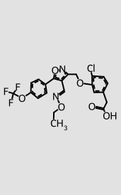 CCO/N=C/c1c(COc2cc(CC(=O)O)ccc2Cl)noc1-c1ccc(OC(F)(F)F)cc1